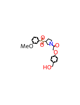 COc1cccc(S(=O)(=O)C2CCN(C(=O)COc3ccc(CO)cc3)C2)c1